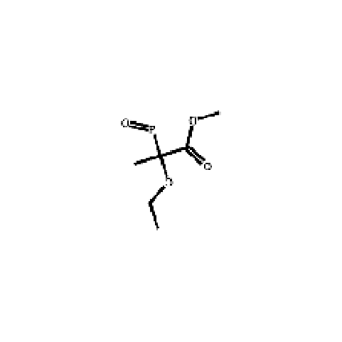 CCOC(C)(P=O)C(=O)OC